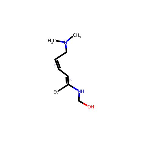 CC/C(=C\C=C/CN(C)C)NCO